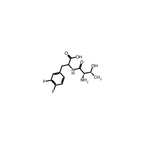 C[C@H](O)[C@@H](N)C(=O)NC(Cc1ccc(F)c(F)c1)C(=O)O